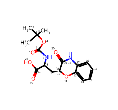 CC(C)(C)OC(=O)NC(C[C@@H]1Oc2ccccc2NC1=O)C(=O)O